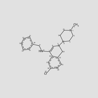 CN1CCN(N2C=C(NCc3ccccc3)c3cc(Cl)ncc3C2)CC1